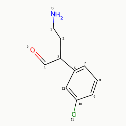 NCCC(C=O)c1cccc(Cl)c1